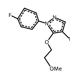 COCCOc1c(I)cnn1-c1ccc(F)cc1